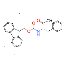 CC(=O)[C@H](Cc1ccccc1)NC(=O)OCC1c2ccccc2-c2ccccc21